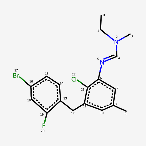 CCN(C)C=Nc1cc(C)cc(Cc2ccc(Br)cc2F)c1Cl